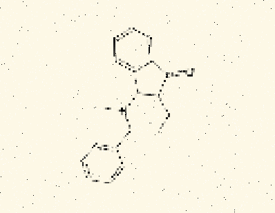 CC(C)C1C(=O)c2ccccc2C1N(C)Cc1ccccc1